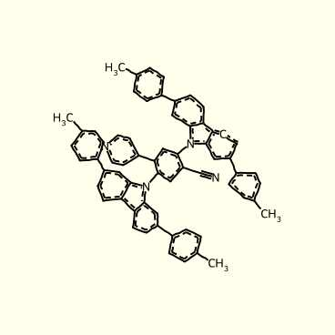 Cc1ccc(-c2ccc3c4ccc(-c5ccc(C)cc5)cc4n(-c4cc(-c5ccncc5)c(-n5c6cc(-c7ccc(C)cc7)ccc6c6ccc(-c7ccc(C)cc7)cc65)cc4C#N)c3c2)cc1